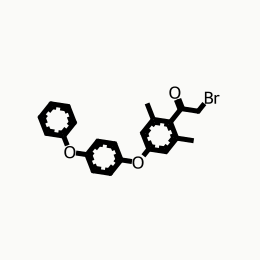 Cc1cc(Oc2ccc(Oc3ccccc3)cc2)cc(C)c1C(=O)CBr